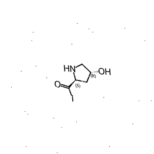 O=C(I)[C@@H]1C[C@@H](O)CN1